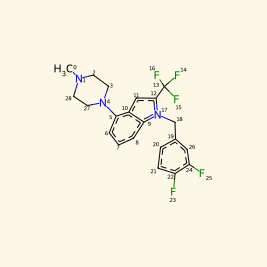 CN1CCN(c2cccc3c2cc(C(F)(F)F)n3Cc2ccc(F)c(F)c2)CC1